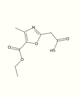 CCOC(=O)c1oc(CC(=O)S)nc1C